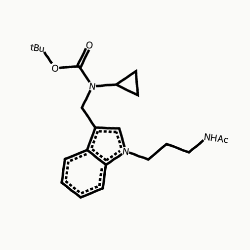 CC(=O)NCCCn1cc(CN(C(=O)OC(C)(C)C)C2CC2)c2ccccc21